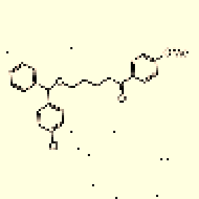 COc1ccc(C(=O)CCCCOC(c2ccccc2)c2ccc(Cl)cc2)cc1